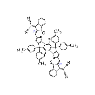 Cc1ccc(C2(c3ccc(C)cc3)c3cc(/C=C4\C(=O)c5ccccc5C4=C(C#N)C#N)sc3-c3c(F)c4c(c(F)c32)-c2sc(/C=C3\C(=S)c5ccccc5C3=C(C#N)C#N)cc2C4(c2ccc(C)cc2)c2ccc(C)cc2)cc1